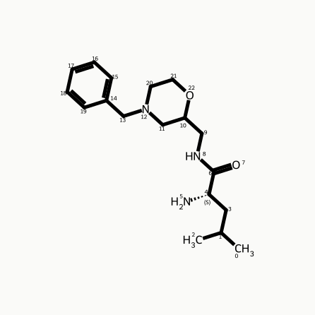 CC(C)C[C@H](N)C(=O)NCC1CN(Cc2ccccc2)CCO1